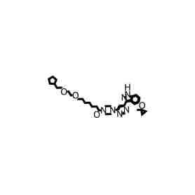 CC1(Oc2ccc3[nH]nc(-c4cc(N5CCN(C(=O)CCCCCCOCCOCCC6CCCC6)CC5)ncn4)c3c2)CC1